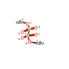 CCCCOS(=O)(=O)S(=O)(=O)OCCCC